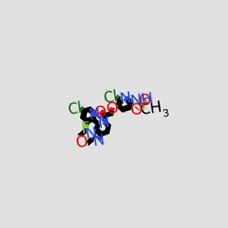 CS(=O)(=O)Nc1ccc(OCC(=O)N2CCc3nc4n(c3C2c2ncc(Cl)cc2F)CCOC4)c(Cl)n1